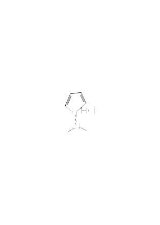 CN(C)n1cccc1.Cl